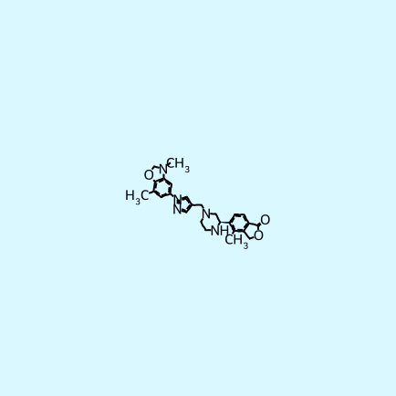 Cc1cc(-n2cc(CN3CCN[C@H](c4ccc5c(c4C)COC5=O)C3)cn2)cc2c1OCN2C